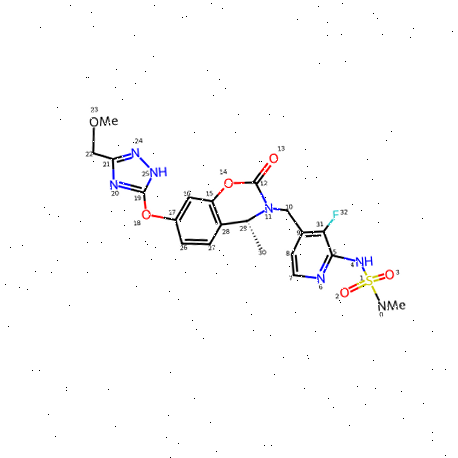 CNS(=O)(=O)Nc1nccc(CN2C(=O)Oc3cc(Oc4nc(COC)n[nH]4)ccc3[C@H]2C)c1F